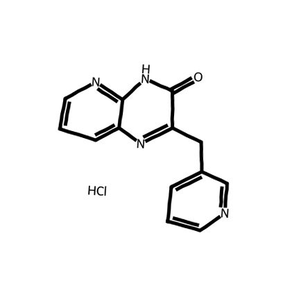 Cl.O=c1[nH]c2ncccc2nc1Cc1cccnc1